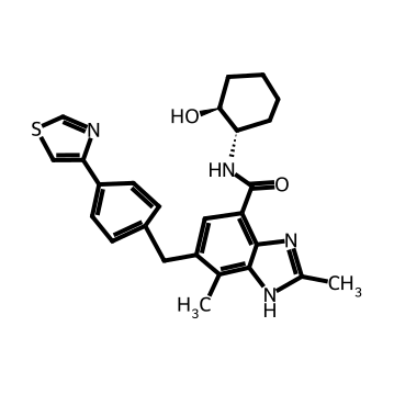 Cc1nc2c(C(=O)N[C@H]3CCCC[C@@H]3O)cc(Cc3ccc(-c4cscn4)cc3)c(C)c2[nH]1